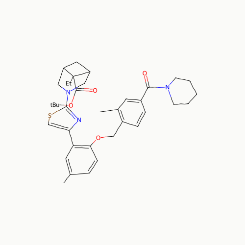 CCC1(C(=O)OC(C)(C)C)C2CC1CN(c1nc(-c3cc(C)ccc3OCc3ccc(C(=O)N4CCCCC4)cc3C)cs1)C2